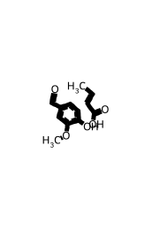 C/C=C/C(=O)O.COc1cc(C=O)ccc1O